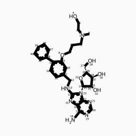 CN(CCO)CCCOc1cc(CNc2nc3c(N)ncnc3n2[C@@H]2O[C@H](CO)[C@@H](O)[C@H]2O)ccc1-c1ccccc1